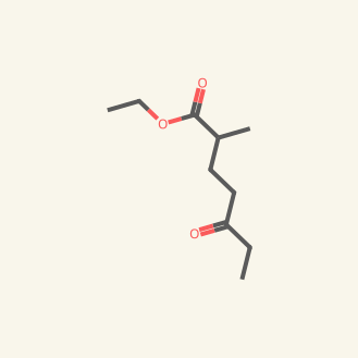 CCOC(=O)C(C)CCC(=O)CC